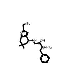 CC(=O)N[C@@H](Cc1ccccc1)[C@@H](O)CN[C@H]1CC(C)(C)Cc2sc(CC(C)(C)C)cc21